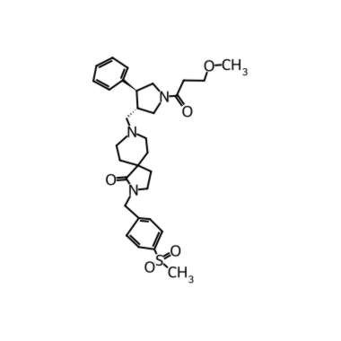 COCCC(=O)N1C[C@H](CN2CCC3(CC2)CCN(Cc2ccc(S(C)(=O)=O)cc2)C3=O)[C@@H](c2ccccc2)C1